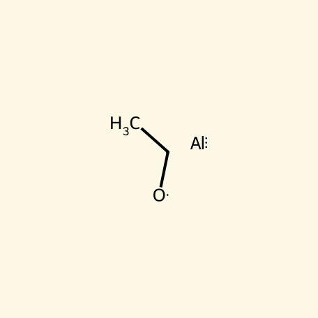 CC[O].[Al]